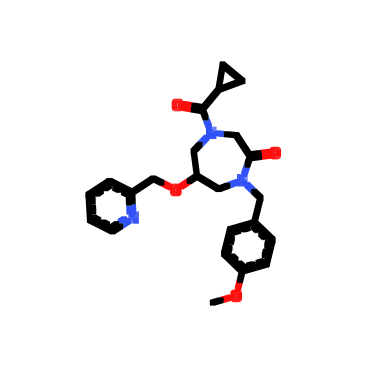 COc1ccc(CN2CC(OCc3ccccn3)CN(C(=O)C3CC3)CC2=O)cc1